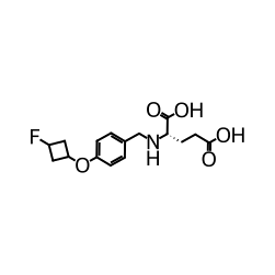 O=C(O)CC[C@H](NCc1ccc(OC2CC(F)C2)cc1)C(=O)O